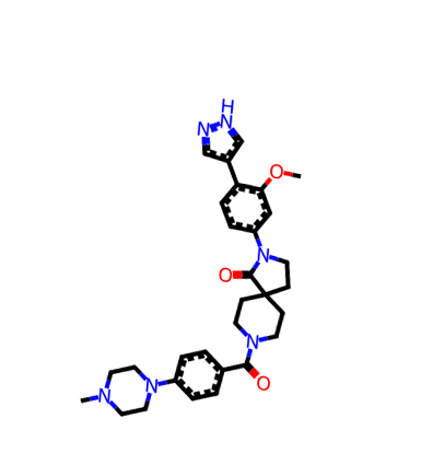 COc1cc(N2CCC3(CCN(C(=O)c4ccc(N5CCN(C)CC5)cc4)CC3)C2=O)ccc1-c1cn[nH]c1